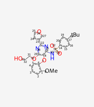 COc1ccccc1Oc1c(NS(=O)(=O)c2ccc(C(C)(C)C)cc2)nc(-c2ccoc2)nc1OCCO